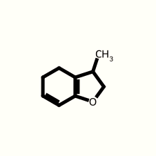 CC1COC2=C1CCC=C2